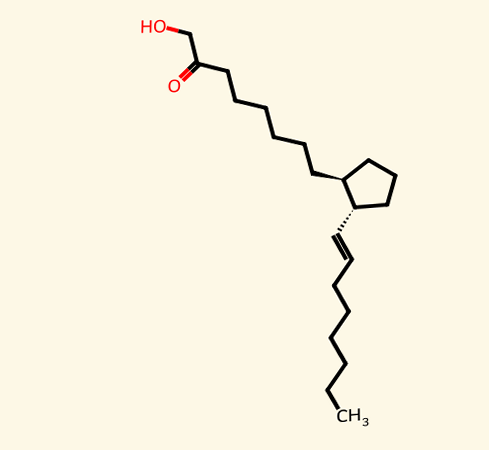 CCCCCCC=C[C@H]1CCC[C@@H]1CCCCCCC(=O)CO